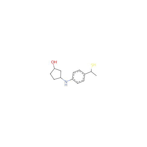 CC(S)c1ccc(NC2CCC(O)C2)cc1